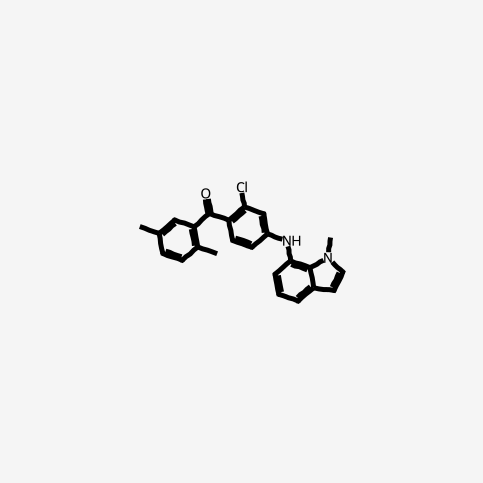 Cc1ccc(C)c(C(=O)c2ccc(Nc3cccc4ccn(C)c34)cc2Cl)c1